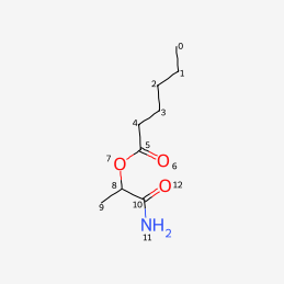 CCCCCC(=O)OC(C)C(N)=O